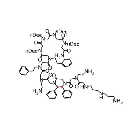 CCCCCCCCCCN(CC(N)=O)C(=O)CN(CCCCCCCCCC)C(=O)CN(CCCCCCCCCC)C(=O)CN(CCCCCCCCCC)C(=O)CN(CCc1ccccc1)C(=O)CN(CCc1ccccc1)C(=O)CN(CCN)C(=O)CN(CCc1ccccc1)C(=O)CN(CCc1ccccc1)C(=O)CN(CCN)C(=O)CNCCCNCCCN